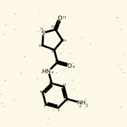 Nc1cccc(NC(=O)C2CSC(=O)C2)c1